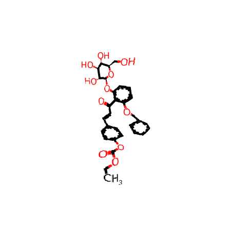 CCOC(=O)Oc1ccc(C=CC(=O)c2c(OCc3ccccc3)cccc2O[C@@H]2O[C@H](CO)[C@@H](O)[C@H](O)[C@H]2O)cc1